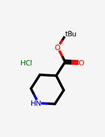 CC(C)(C)OC(=O)C1CCNCC1.Cl